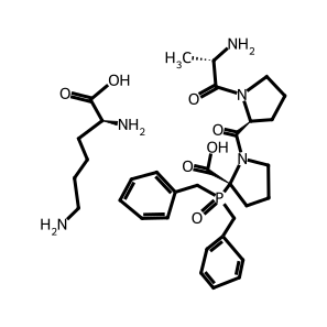 C[C@H](N)C(=O)N1CCC[C@H]1C(=O)N1CCC[C@]1(C(=O)O)P(=O)(Cc1ccccc1)Cc1ccccc1.NCCCC[C@H](N)C(=O)O